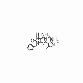 Cc1cnn(N)c1-c1nc(N)c2[nH]c(=O)n(Cc3ccccc3)c2n1